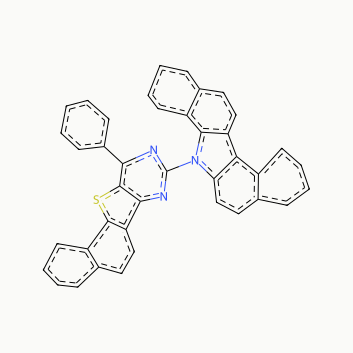 c1ccc(-c2nc(-n3c4ccc5ccccc5c4c4ccc5ccccc5c43)nc3c2sc2c4ccccc4ccc32)cc1